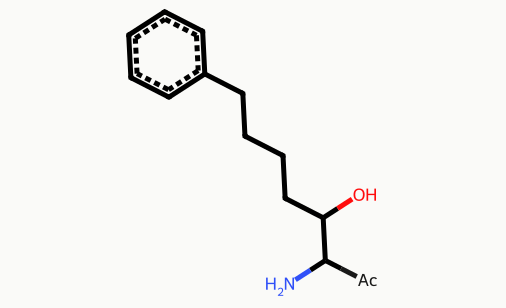 CC(=O)C(N)C(O)CCCCc1ccccc1